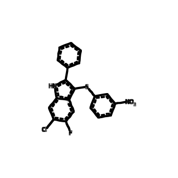 O=[N+]([O-])c1cccc(Sc2c(-c3ccccc3)[nH]c3cc(Cl)c(F)cc23)c1